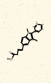 COC(=O)CC=Cc1ccc2c(c1)c(C)c(-c1cccnc1)n2C